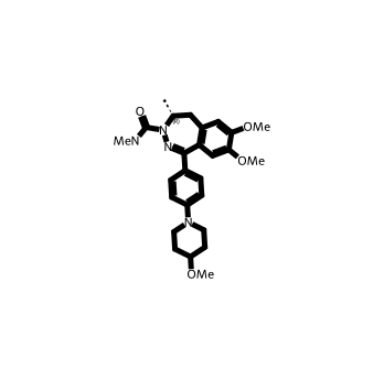 CNC(=O)N1N=C(c2ccc(N3CCC(OC)CC3)cc2)c2cc(OC)c(OC)cc2C[C@H]1C